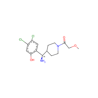 COCC(=O)N1CCC([C@@H](N)c2cc(Cl)c(Cl)cc2O)CC1